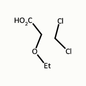 CCOCC(=O)O.ClCCl